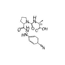 C[C@H](NC(=O)N1CCCC1C(=O)NNc1ccc(C#N)cc1)C(=O)O